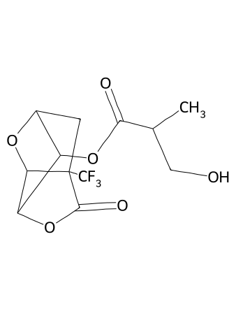 CC(CO)C(=O)OC1C2CC3(C(F)(F)F)C(=O)OC1C3O2